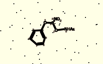 CC(=O)NOB(Oc1ccccc1)[N+](=O)[O-]